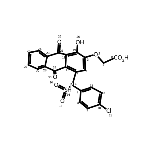 O=C(O)COc1cc(N(c2ccc(Cl)cc2)[SH](=O)=O)c2c(c1O)C(=O)c1ccccc1C2=O